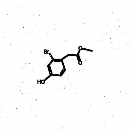 COC(=O)Cc1ccc(O)cc1Br